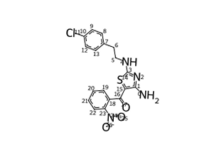 Nc1nc(NCCc2ccc(Cl)cc2)sc1C(=O)c1ccccc1[N+](=O)[O-]